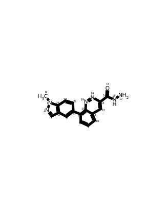 Cn1ncc2cc(-c3cccc4cc(C(=O)NN)nnc34)ccc21